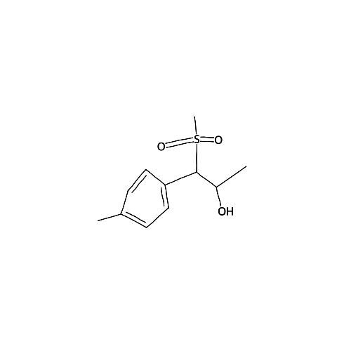 Cc1ccc(C(C(C)O)S(C)(=O)=O)cc1